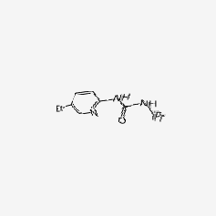 CCc1ccc(NC(=O)NC(C)C)nc1